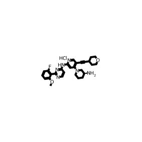 COc1cccc(F)c1-c1nccc(Nc2cc(N3CCC[C@H](N)C3)c(C#CC3CCOCC3)cn2)n1.Cl